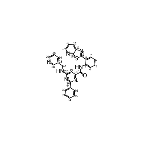 O=C(Nc1ccccc1-c1nc2cccnc2s1)c1cc(NCc2cccnc2)nc(-c2ccccc2)n1